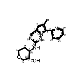 Cc1cc2cnc(N[C@@H]3CCOC[C@H]3O)nn2c1-c1ccccn1